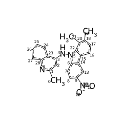 Cc1cc(Nn2c3ccc([N+](=O)[O-])cc3c3ccc(C)c(C)c32)c2ccccc2n1